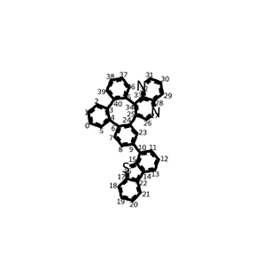 c1ccc2c(c1)-c1ccc(-c3cccc4c3sc3ccccc34)cc1-c1cnc3cccnc3c1-c1ccccc1-2